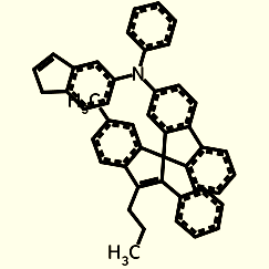 CCCC1=C(c2ccccc2)C2(c3cc(C)ccc31)c1ccccc1-c1ccc(N(c3ccccc3)c3ccc4c(c3)C=CC4)cc12